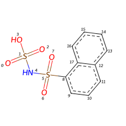 O=S(=O)(O)NS(=O)(=O)c1cccc2ccccc12